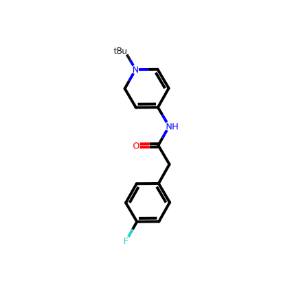 CC(C)(C)N1C=CC(NC(=O)Cc2ccc(F)cc2)=CC1